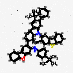 CC(C)(C)c1ccc(Nc2cc3oc4ccccc4c3cc2-c2ccc3c4cc5c(cc4n4c3c2Bc2cc3sc6ccccc6c3cc2-4)-c2ccccc2C5(C)C)cc1